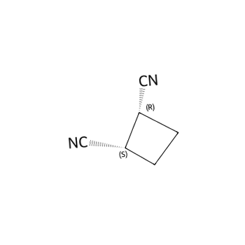 N#C[C@@H]1CC[C@@H]1C#N